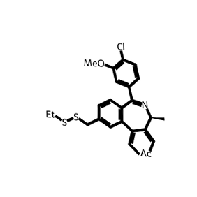 C/C=C1\C(=C/C(C)=O)[C@H](C)N=C(c2ccc(Cl)c(OC)c2)c2ccc(CSSCC)cc21